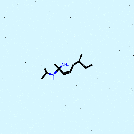 CC[C@H](C)C/C=C\C(C)(N)NC(C)C